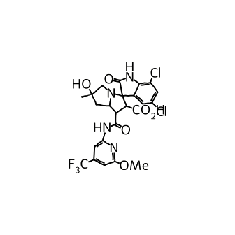 COc1cc(C(F)(F)F)cc(NC(=O)C2C3C[C@](C)(O)CN3C3(C(=O)Nc4c(Cl)cc(Cl)cc43)C2C(=O)O)n1